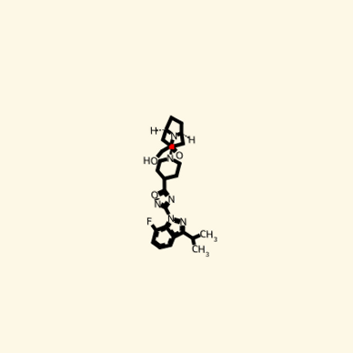 CC(C)c1nn(-c2noc(C3CCN([C@H]4C[C@H]5CC[C@@H](C4)N5C(=O)CO)CC3)n2)c2c(F)cccc12